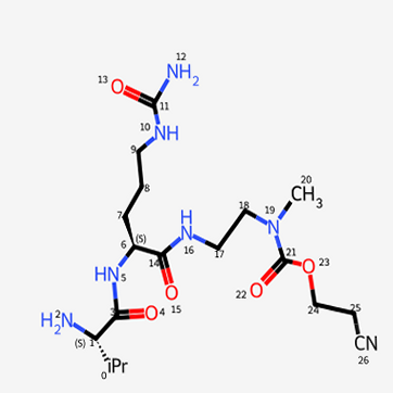 CC(C)[C@H](N)C(=O)N[C@@H](CCCNC(N)=O)C(=O)NCCN(C)C(=O)OCCC#N